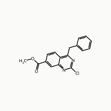 COC(=O)c1ccc2c(Cc3ccccc3)nc(Cl)nc2c1